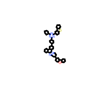 c1ccc(-c2nc(-c3ccc(-c4ccc5c(c4)c4ccccc4c4nc6cc(-c7ccc8oc9ccccc9c8c7)ccn6c54)cc3)nc(-c3ccc4sc5ccccc5c4c3)n2)cc1